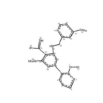 CCOc1ncccc1-c1cc(NCc2cc(OC)ccn2)c(C(=N)C(C)C)c(NC)n1